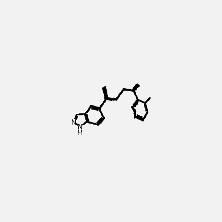 C=C(CCC(=C)c1ccccc1C)c1ccc2[nH]ncc2c1